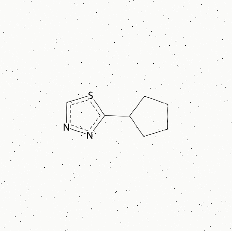 c1nnc(C2CCCC2)s1